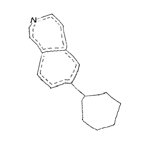 c1cc2cc(C3CCCCC3)ccc2cn1